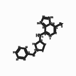 Brc1cnc(NC2CCN(Cc3ccccc3)C2)c2ncnn12